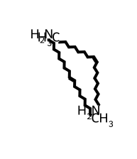 CCCCCCCC/C=C\CCCCCCCCN.CCCCCCCCC=CCCCCCCCCN